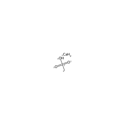 CS(=O)(=O)O.[CaH2]